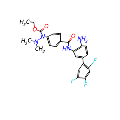 CCOC(=O)N(c1ccc(C(=O)Nc2cc(-c3cc(F)c(F)cc3F)ccc2N)cc1)N(C)C